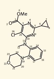 COC(=O)c1nc(C2CC2)nc(N(C)c2ccccc2N2CCOCC2)c1Cl